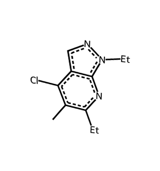 CCc1nc2c(cnn2CC)c(Cl)c1C